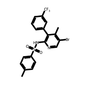 Cc1ccc(S(=O)(=O)Nc2ncc(Br)c(C)c2-c2cccc(C(F)(F)F)c2)cc1